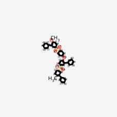 COc1ccc(S(=O)(=O)c2ccc(Oc3ccc(S(=O)(=O)c4ccc(C)c(-c5ccccc5)c4)cc3-c3ccccc3)cc2)cc1-c1ccccc1